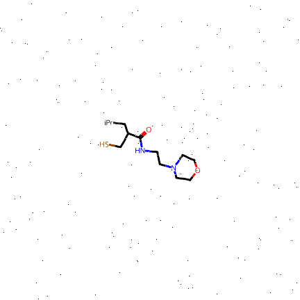 CC(C)CC(CS)C(=O)NCCN1CCOCC1